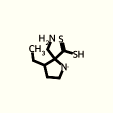 CCC1CC[N]C1(CN)C(=S)S